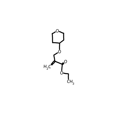 C=C(COC1CCOCC1)C(=O)OCC